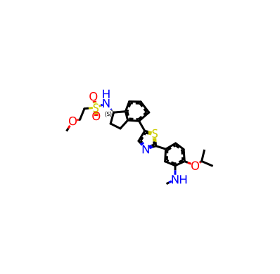 CNc1cc(-c2ncc(-c3cccc4c3CC[C@@H]4NS(=O)(=O)CCOC)s2)ccc1OC(C)C